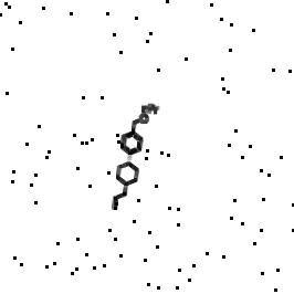 C=CC[C@H]1CC[C@H](c2ccc(COCCC)cc2)CC1